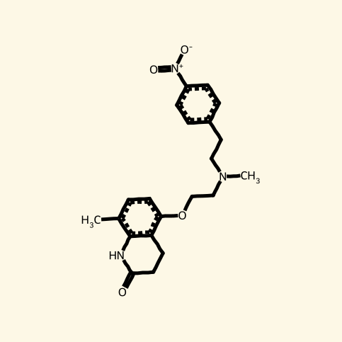 Cc1ccc(OCCN(C)CCc2ccc([N+](=O)[O-])cc2)c2c1NC(=O)CC2